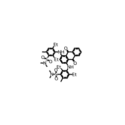 CCc1cc(C)c(S(=O)(=O)N(C)C)c(CC)c1Nc1ccc(Nc2c(CC)cc(C)c(S(=O)(=O)N(C)C)c2CC)c2c1C(=O)c1ccccc1C2=O